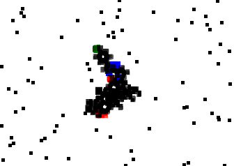 C=C(C)[C@@H]1CC[C@]2(C(=O)N3CCCC3c3ncc(-c4ccc(Cl)cc4)[nH]3)CC[C@]3(C)[C@H](CCC4[C@@]5(C)CC[C@H](O)C(C)(C)C5CC[C@]43C)C12